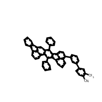 N#Cc1ccc(-c2cccc(-c3ccc4c5c(-c6ccccc6)c6cc7c8ccccc8c8cccc(c6c(-c6ccccc6)c5c5cccc3c45)c87)c2)cc1C(F)(F)F